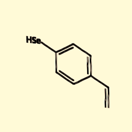 C=Cc1ccc([SeH])cc1